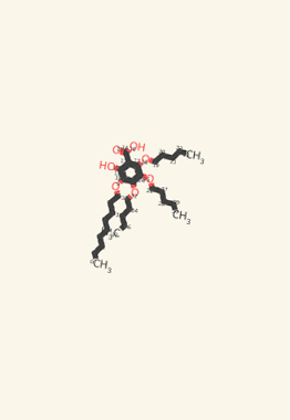 CCCCCCCCCOc1c(O)c(C(=O)O)c(OCCCCC)c(OCCCCC)c1OCCCCC